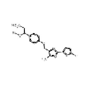 CCOC(CC(=O)O)c1ccc(OCc2nc(-c3ccc(Cl)s3)oc2C)cc1